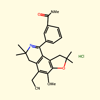 CNC(=O)c1cccc(C2=NC(C)(C)Cc3c(CC#N)c(OC)c4c(c32)CC(C)(C)O4)c1.Cl